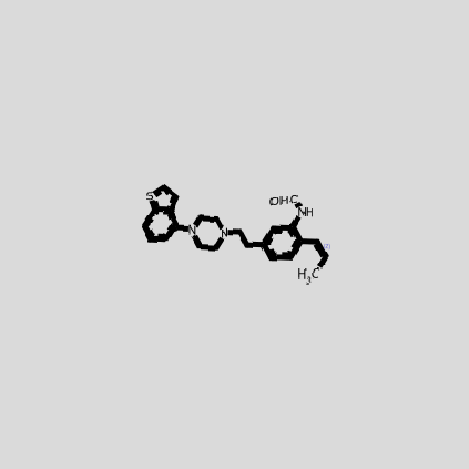 C/C=C\c1ccc(CCN2CCN(c3cccc4sccc34)CC2)cc1NC=O